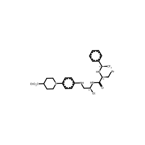 CCOC(=O)C1CCN(c2ccc(NC[C@H](CC)NC(=O)[C@H](CC(C)C)N[C@@H](c3ccccc3)C(F)(F)F)cc2)CC1